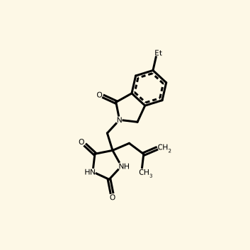 C=C(C)CC1(CN2Cc3ccc(CC)cc3C2=O)NC(=O)NC1=O